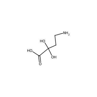 NCCC(O)(O)C(=O)O